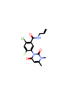 C=CCNC(=O)c1cc(-n2c(=O)cc(C)n(C)c2=O)c(F)cc1Cl